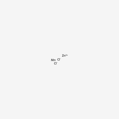 [Cl-].[Cl-].[Mn].[Zn+2]